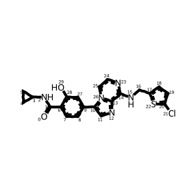 O=C(NC1CC1)c1ccc(-c2cnc3c(NCc4ccc(Cl)s4)nccn23)cc1O